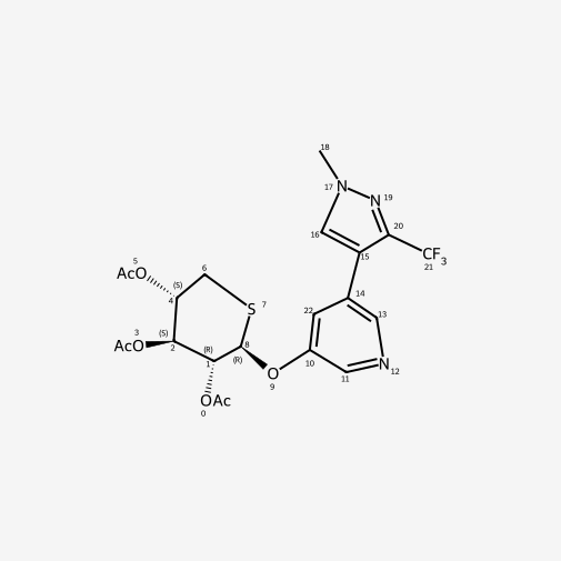 CC(=O)O[C@@H]1[C@@H](OC(C)=O)[C@H](OC(C)=O)CS[C@H]1Oc1cncc(-c2cn(C)nc2C(F)(F)F)c1